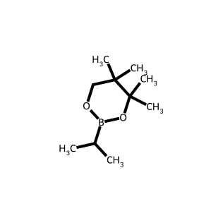 CC(C)B1OCC(C)(C)C(C)(C)O1